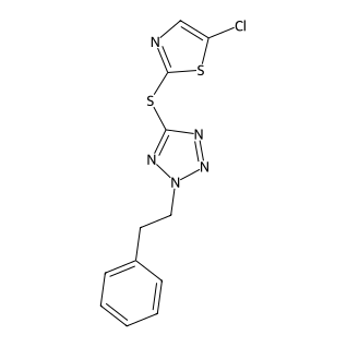 Clc1cnc(Sc2nnn(CCc3ccccc3)n2)s1